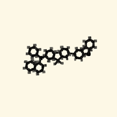 CC1(C)c2cc(-c3ccc4oc5ccccc5c4c3)ccc2-c2ccc(N(c3ccccc3)c3cccc4ccccc34)cc21